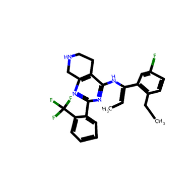 C/C=C(\Nc1nc(-c2ccccc2C(F)(F)F)nc2c1CCNC2)c1cc(F)ccc1CC